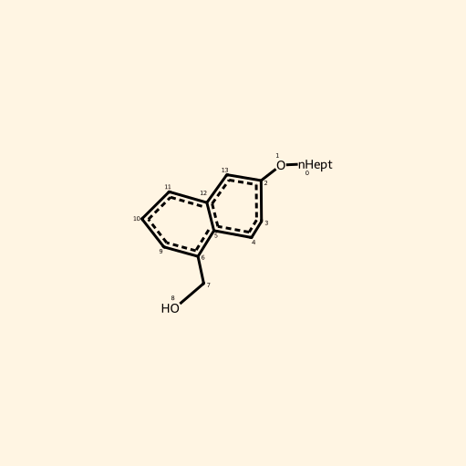 CCCCCCCOc1ccc2c(CO)cccc2c1